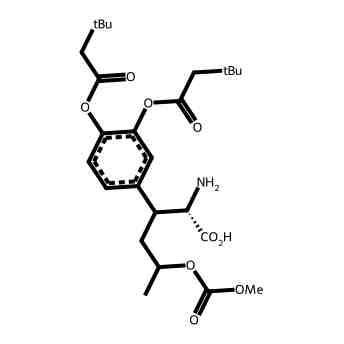 COC(=O)OC(C)CC(c1ccc(OC(=O)CC(C)(C)C)c(OC(=O)CC(C)(C)C)c1)[C@H](N)C(=O)O